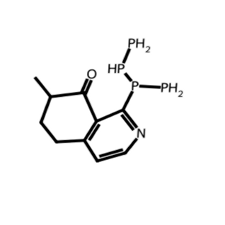 CC1CCc2ccnc(P(P)PP)c2C1=O